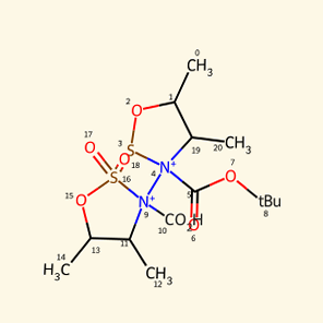 CC1OS[N+](C(=O)OC(C)(C)C)([N+]2(C(=O)O)C(C)C(C)OS2(=O)=O)C1C